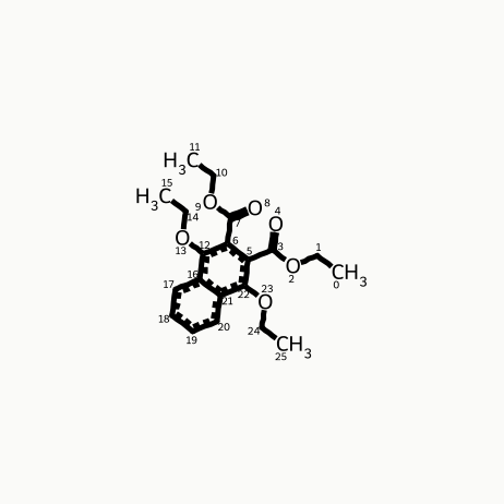 CCOC(=O)c1c(C(=O)OCC)c(OCC)c2ccccc2c1OCC